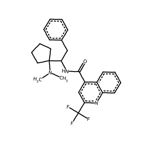 CN(C)C1(C(Cc2ccccc2)NC(=O)c2cc(C(F)(F)F)nc3ccccc23)CCCC1